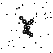 c1ccc(-c2ccc(N(c3ccc4ccccc4c3)c3cccc4c(-n5c6ccccc6c6cc7ccccc7cc65)cccc34)cc2)cc1